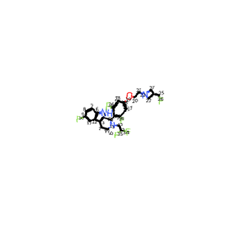 C[C@@H]1Cc2c([nH]c3ccc(F)cc23)[C@@H](c2c(F)cc(OCCN3CC(CF)C3)cc2F)N1CC(F)F